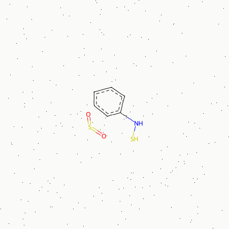 O=S=O.SNc1ccccc1